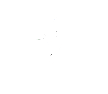 CC(Oc1nc(Cl)c(Cl)c(N)c1Cl)C(=O)O